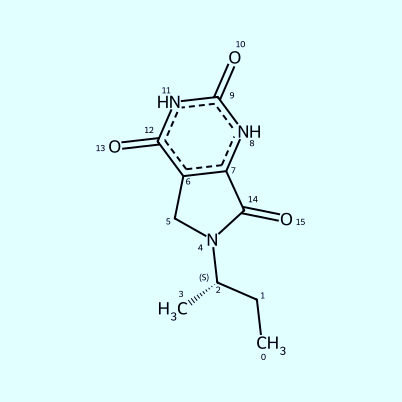 CC[C@H](C)N1Cc2c([nH]c(=O)[nH]c2=O)C1=O